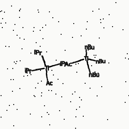 CCC[CH2][Ti]([CH2]CCC)([CH2]CCC)[C](C)=O.C[C](=O)[Ti]([CH](C)C)([CH](C)C)[CH](C)C